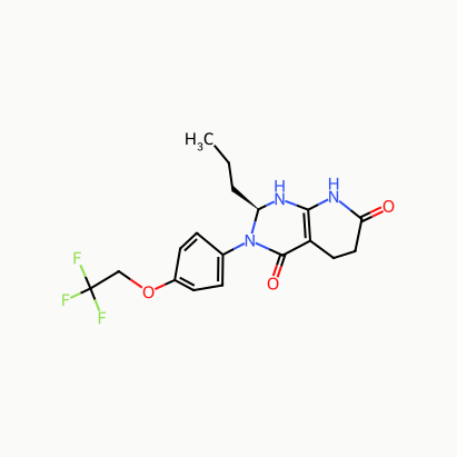 CCC[C@H]1NC2=C(CCC(=O)N2)C(=O)N1c1ccc(OCC(F)(F)F)cc1